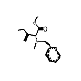 C=C(CC)[C@@H](C(=O)OC)N(C)Cc1ccccc1